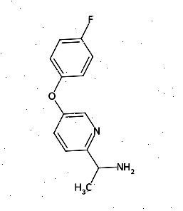 CC(N)c1ccc(Oc2ccc(F)cc2)cn1